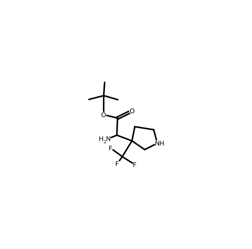 CC(C)(C)OC(=O)C(N)C1(C(F)(F)F)CCNC1